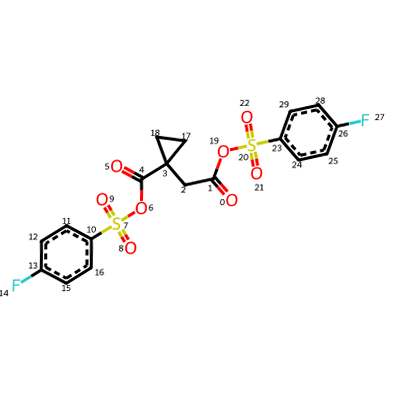 O=C(CC1(C(=O)OS(=O)(=O)c2ccc(F)cc2)CC1)OS(=O)(=O)c1ccc(F)cc1